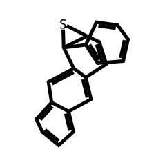 C1=CC2SC2(c2ccccc2)c2cc3ccccc3cc21